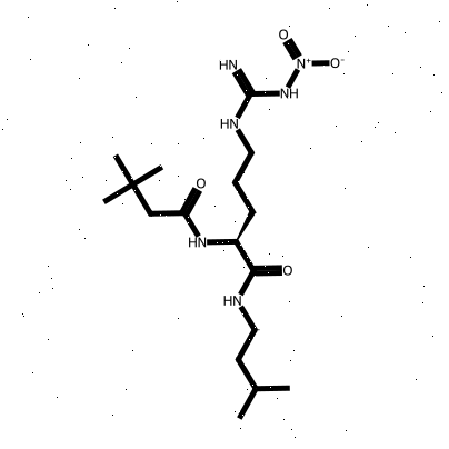 CC(C)C[CH]NC(=O)[C@H](CCCNC(=N)N[N+](=O)[O-])NC(=O)CC(C)(C)C